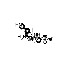 NC(=O)/C(N)=C(/N=C(\N)N1CCCC(N2CCN(C3CC3)C2=O)C1)Nc1ccc(C2CCNCC2)cc1